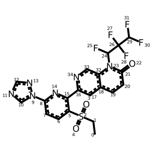 CCS(=O)(=O)c1ccc(-n2cncn2)nc1-c1cc2ccc(=O)n(C(F)C(F)(F)C(F)F)c2cn1